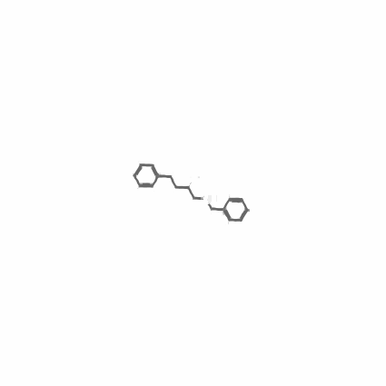 O[C@H](CCc1ccccc1)CNCc1ccccc1